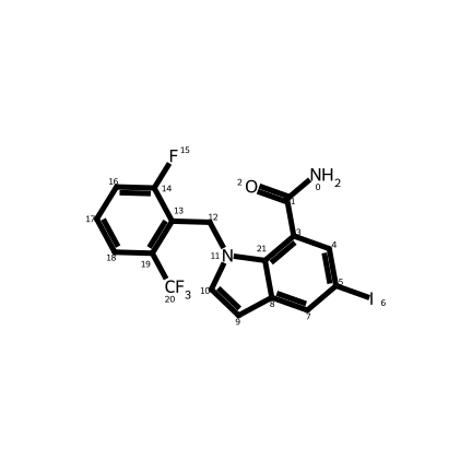 NC(=O)c1cc(I)cc2ccn(Cc3c(F)cccc3C(F)(F)F)c12